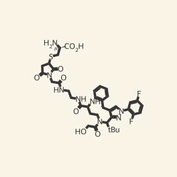 CC(C)(C)C(c1nn(-c2cc(F)ccc2F)cc1Cc1ccccc1)N(CCC(N)C(=O)NCCNC(=O)CN1C(=O)CC(SC[C@H](N)C(=O)O)C1=O)C(=O)CO